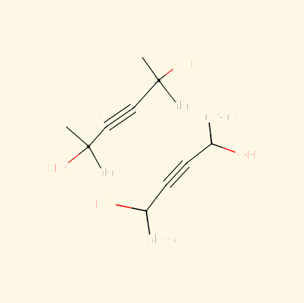 CC(C)C(C)(O)C#CC(C)(O)C(C)C.CCCCCC(O)C#CC(O)CCCCC